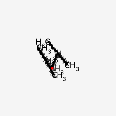 CCCCCCC[CH2][Al]([CH2]CCCCCCC)[CH2]CCCCCCC.CCCCCCC[CH2][Al][CH2]CCCCCCC